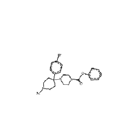 CC(=O)N1CCC(c2ccc(Br)cc2)(N2CCN(C(=O)Oc3ccccc3)CC2)CC1